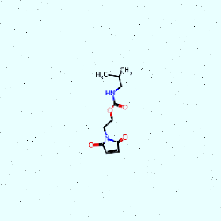 CC(C)CNC(=O)OCCN1C(=O)C=CC1=O